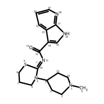 CN1CCC(N2CCCS/C2=N\C(=O)c2c[nH]c3ncccc23)CC1